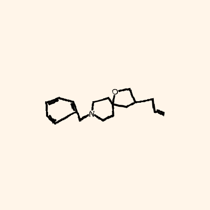 C=CCC1COC2(CCN(Cc3ccccc3)CC2)C1